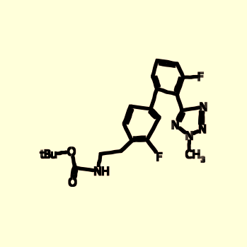 Cn1nnc(-c2c(F)cccc2-c2ccc(CCNC(=O)OC(C)(C)C)c(F)c2)n1